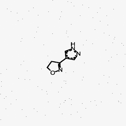 c1n[nH]cc1C1=NOCC1